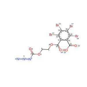 [N-]=[N+]=NC(=O)OCCOC(=O)c1c(Br)c(Br)c(Br)c(Br)c1C(=O)O